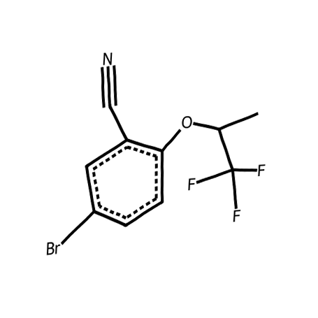 CC(Oc1ccc(Br)cc1C#N)C(F)(F)F